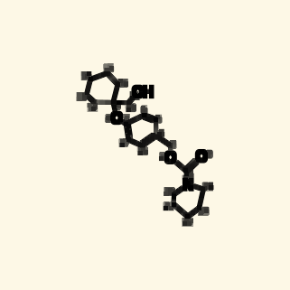 O=C(OCc1ccc(OC2(CO)CCCCC2)cc1)N1CCCCC1